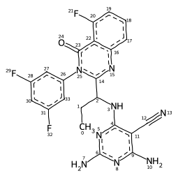 CCC(Nc1nc(N)nc(N)c1C#N)c1nc2cccc(F)c2c(=O)n1-c1cc(F)cc(F)c1